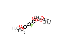 C=C(C)C(=O)OCCOc1ccc(-c2ccc(-c3ccc(OC(=O)C(=C)C)cc3)cc2F)cc1OC